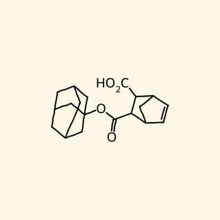 O=C(O)C1C2C=CC(C2)C1C(=O)OC12CC3CC(CC(C3)C1)C2